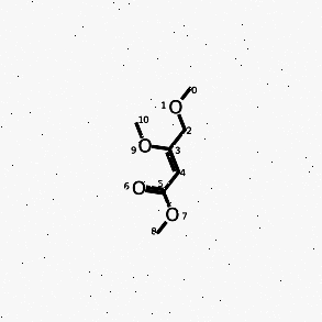 COC/C(=C/C(=O)OC)OC